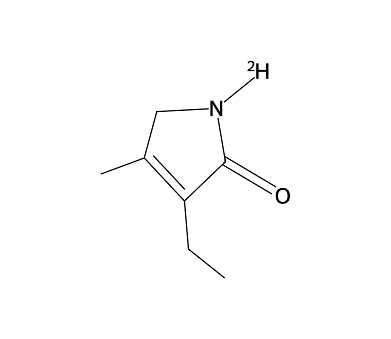 [2H]N1CC(C)=C(CC)C1=O